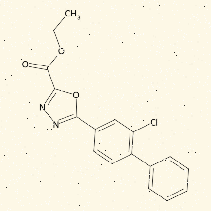 CCOC(=O)c1nnc(-c2ccc(-c3ccccc3)c(Cl)c2)o1